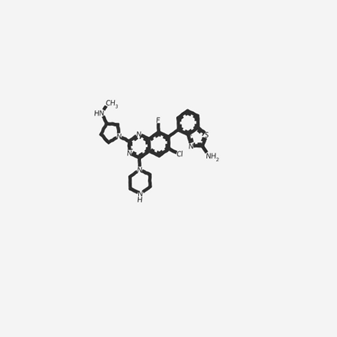 CNC1CCN(c2nc(N3CCNCC3)c3cc(Cl)c(-c4cccc5sc(N)nc45)c(F)c3n2)C1